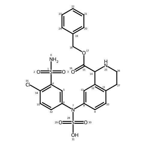 NS(=O)(=O)c1cc(N(c2ccc3c(c2)C(C(=O)OCc2ccccc2)NCC3)S(=O)(=O)O)ccc1Cl